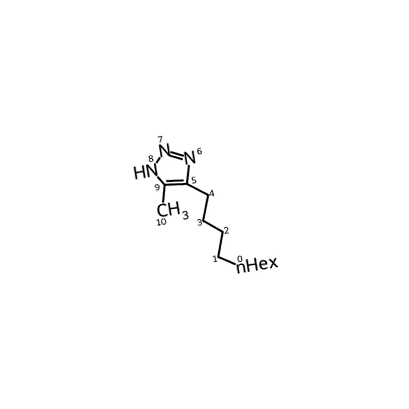 CCCCCCCCCCc1nn[nH]c1C